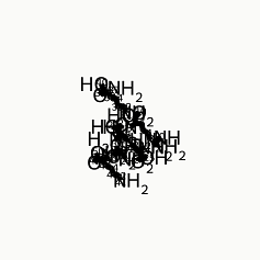 N=C(N)NCCCC(N)C(=O)O.NC(CSSCC(N)C(=O)O)C(=O)O.NCC(=O)O.NCCCCC(N)C(=O)O.NCCCCC(N)C(=O)O